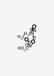 Cc1ccc(OC(=O)N(CC(=O)O)Cc2ccc(OCCN(C)c3nc4ccccc4o3)cc2)cc1